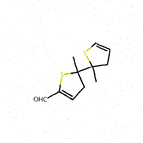 CC1(C2(C)CC=C(C=O)S2)CC=CS1